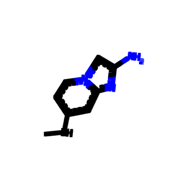 CBc1ccn2cc(N)nc2c1